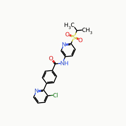 CC(C)S(=O)(=O)c1ccc(NC(=O)c2ccc(-c3ncccc3Cl)cc2)cn1